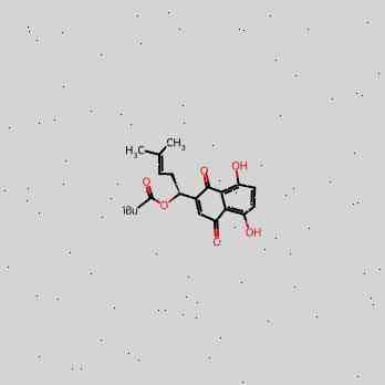 CCC(C)C(=O)O[C@@H](CC=C(C)C)C1=CC(=O)c2c(O)ccc(O)c2C1=O